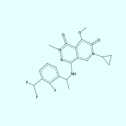 COc1c(=O)n(C2CC2)cc2c(NC(C)c3cccc(C(F)F)c3F)nn(C)c(=O)c12